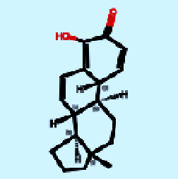 C[C@@]12CCC[C@H]1[C@@H]1C=CC3=C(O)C(=O)C=C[C@@H]3[C@H]1CC2